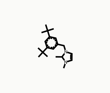 CC1N(C)C=CN1Cc1cc(C(C)(C)C)cc(C(C)(C)C)c1